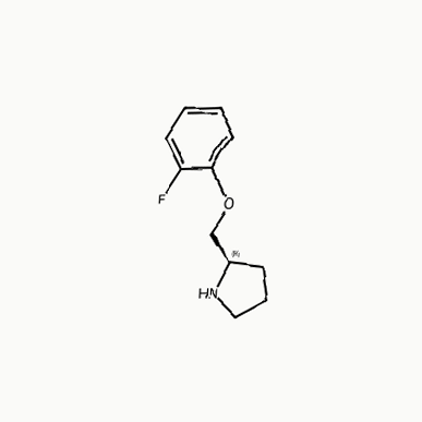 Fc1ccccc1OC[C@H]1CCCN1